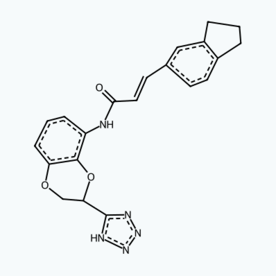 O=C(/C=C/c1ccc2c(c1)CCC2)Nc1cccc2c1OC(c1nnn[nH]1)CO2